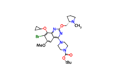 COc1cc2c(N3CCN(C(=O)OC(C)(C)C)CC3)nc(OC[C@@H]3CCCN3C)nc2c(OC2CC2)c1Br